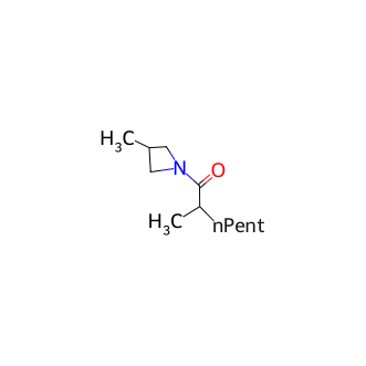 CCCCCC(C)C(=O)N1CC(C)C1